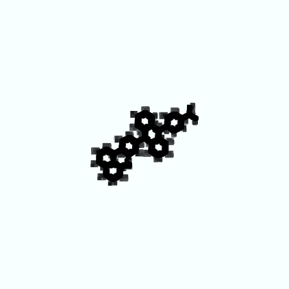 CC(C)c1ccc(-c2c3ccccc3c(-c3ccc4c(c3)Sc3cccc5cccc-4c35)c3ccccc23)cc1